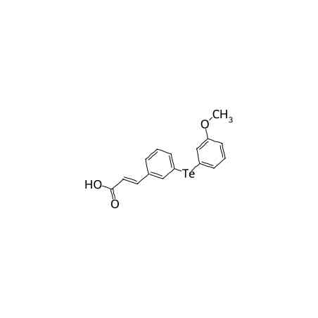 COc1cccc([Te]c2cccc(C=CC(=O)O)c2)c1